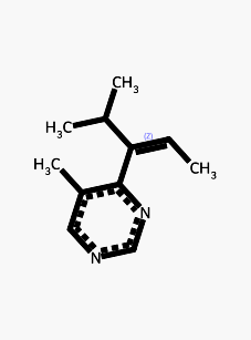 C/C=C(\c1ncncc1C)C(C)C